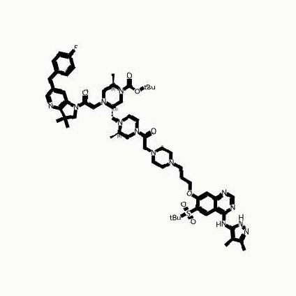 Cc1n[nH]c(Nc2ncnc3cc(OCCCN4CCN(CC(=O)N5CCN(C[C@H]6CN(C(=O)OC(C)(C)C)[C@H](C)CN6CC(=O)N6CC(C)(C)c7ncc(Cc8ccc(F)cc8)cc76)[C@H](C)C5)CC4)c(S(=O)(=O)C(C)(C)C)cc23)c1C